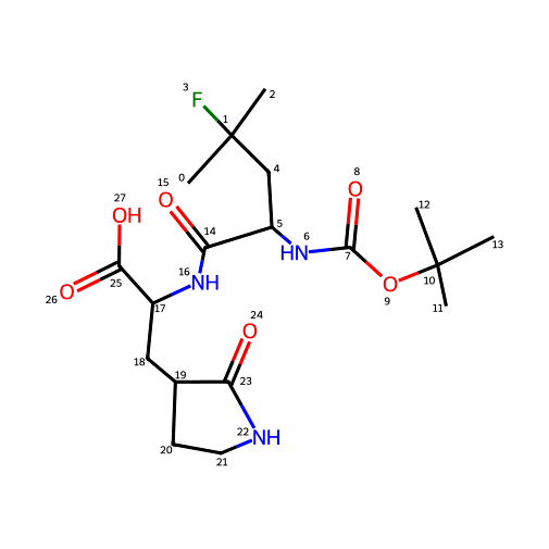 CC(C)(F)CC(NC(=O)OC(C)(C)C)C(=O)NC(CC1CCNC1=O)C(=O)O